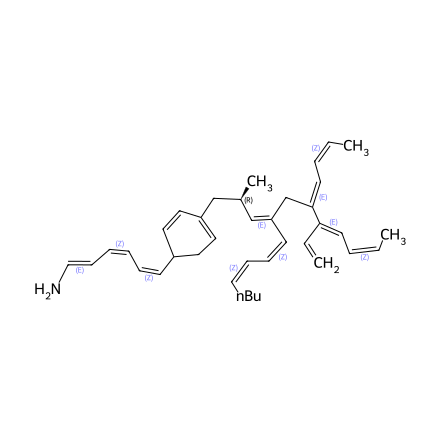 C=CC(=C\C=C/C)/C(=C/C=C\C)CC(/C=C\C=C/CCCC)=C\[C@H](C)CC1=CCC(\C=C/C=C\C=C\N)C=C1